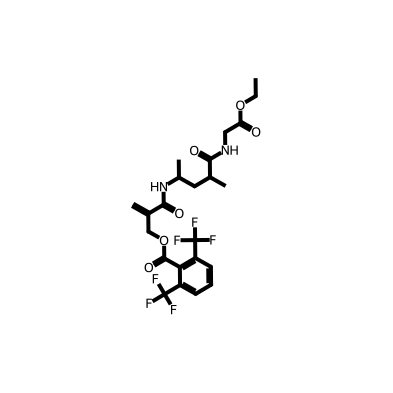 C=C(COC(=O)c1c(C(F)(F)F)cccc1C(F)(F)F)C(=O)NC(C)CC(C)C(=O)NCC(=O)OCC